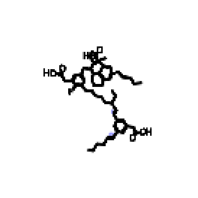 CCCC/C=C/c1cc(/C=C/C(CC)CCCCCc2cc(CC(CCC)C(C)CCCc3cc(CCCCC)cc(C(C)(C)C(=O)O)c3)cc(CC(=O)O)c2F)cc(CC(=O)O)c1